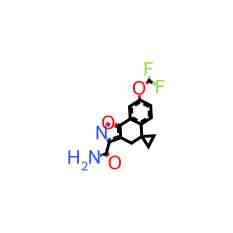 NC(=O)c1noc2c1CC1(CC1)c1ccc(OC(F)F)cc1-2